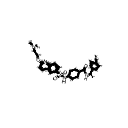 C[C@@H](NC(=O)C1CCC(NS(=O)(=O)c2ccc3nc(OCCN(C)C)ccc3c2)CC1)c1ccc(F)cc1